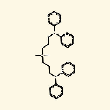 C[Si](C)(CCCP(c1ccccc1)c1ccccc1)CCCP(c1ccccc1)c1ccccc1